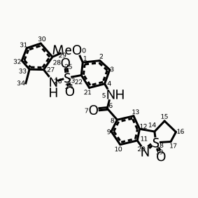 COc1ccc(NC(=O)c2ccc3c(c2)C2CCCS2(=O)=N3)cc1S(=O)(=O)Nc1c(C)cccc1C